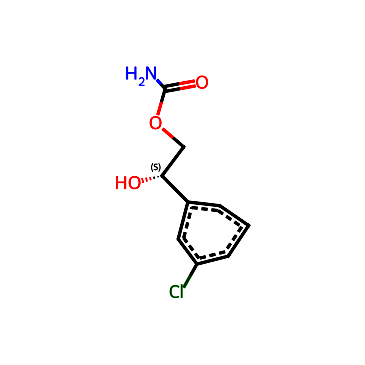 NC(=O)OC[C@@H](O)c1cccc(Cl)c1